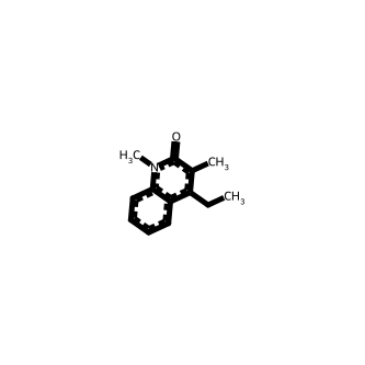 CCc1c(C)c(=O)n(C)c2ccccc12